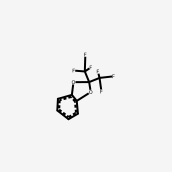 FC(F)(F)C1(C(F)(F)F)Oc2ccccc2O1